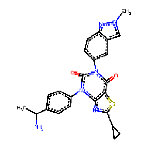 CC(N)c1ccc(-n2c(=O)n(-c3ccc4nn(C)cc4c3)c(=O)c3sc(C4CC4)nc32)cc1